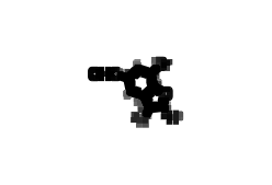 [2H]c1oc2c(Br)cc(C=O)cc2c1[2H]